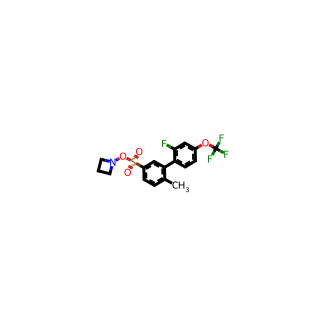 Cc1ccc(S(=O)(=O)ON2CCC2)cc1-c1ccc(OC(F)(F)F)cc1F